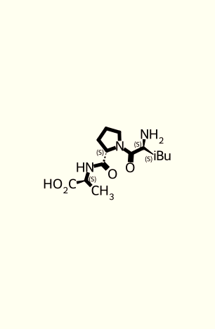 CC[C@H](C)[C@H](N)C(=O)N1CCC[C@H]1C(=O)N[C@@H](C)C(=O)O